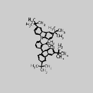 CC(C)c1c(C2c3ccc(C(C)(C)C)cc3-c3cc(C(C)(C)C)ccc32)cccc1-n1c2ccc(C(C)(C)C)cc2c2cc(C(C)(C)C)ccc21